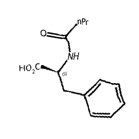 CCCC(=O)N[C@@H](Cc1ccccc1)C(=O)O